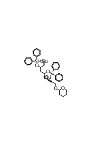 C=CC(CC(CC#CCOC1CCCCO1)O[Si](c1ccccc1)(c1ccccc1)C(C)(C)C)O[Si](c1ccccc1)(c1ccccc1)C(C)(C)C